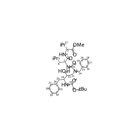 COC(=O)C(NC(=O)C(CC(C)C)NC(=O)N(Cc1ccccc1)CC(O)C(Cc1ccccc1)NC(=O)OC(C)(C)C)C(C)C